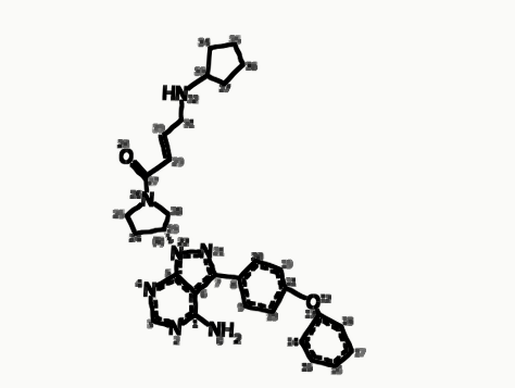 Nc1ncnc2c1c(-c1ccc(Oc3ccccc3)cc1)nn2[C@@H]1CCN(C(=O)C=CCNC2CCCC2)C1